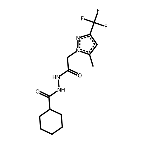 Cc1cc(C(F)(F)F)nn1CC(=O)NNC(=O)C1CCCCC1